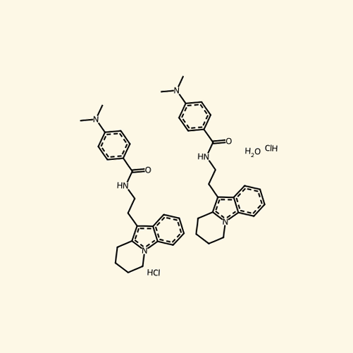 CN(C)c1ccc(C(=O)NCCc2c3n(c4ccccc24)CCCC3)cc1.CN(C)c1ccc(C(=O)NCCc2c3n(c4ccccc24)CCCC3)cc1.Cl.Cl.O